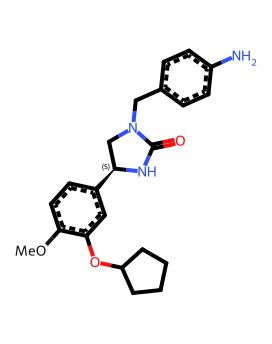 COc1ccc([C@H]2CN(Cc3ccc(N)cc3)C(=O)N2)cc1OC1CCCC1